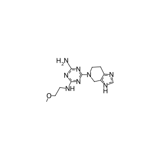 COCCNc1nc(N)nc(N2CCc3nc[nH]c3C2)n1